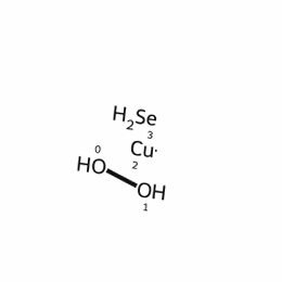 OO.[Cu].[SeH2]